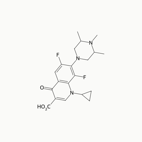 CC1CN(c2c(F)cc3c(=O)c(C(=O)O)cn(C4CC4)c3c2F)CC(C)N1C